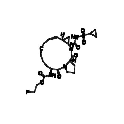 O=C(N[C@H]1CCCCC/C=C\[C@@H]2C[C@@]2(C(=O)NS(=O)(=O)C2CC2)NC(=O)[C@@H]2CCCN2C1=O)OCCF